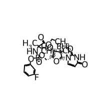 B[C@]1(Cl)[C@H](O)[C@@H](CO[P@](=O)(NC(C)(C)C(=O)OCC)Oc2cccc(F)c2)O[C@H]1n1ccc(=O)[nH]c1=O